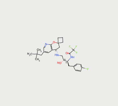 CC(C)(C)Cc1cnc2c(c1)[C@@H](NC[C@@H](O)[C@H](Cc1ccc(F)cc1)NC(=O)C(F)(F)F)CC1(CCC1)O2